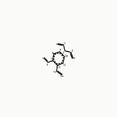 C=CCC=C.C=Cc1ccccc1C=C